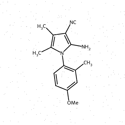 [C-]#[N+]c1c(C)c(C)n(-c2ccc(OC)cc2C)c1N